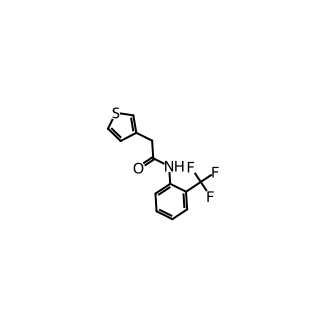 O=C(Cc1ccsc1)Nc1ccccc1C(F)(F)F